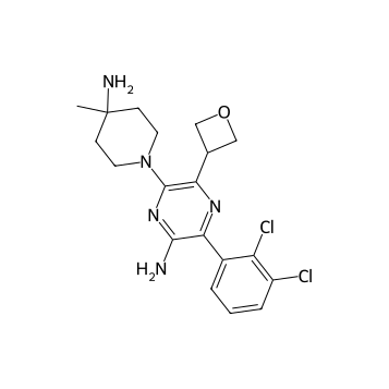 CC1(N)CCN(c2nc(N)c(-c3cccc(Cl)c3Cl)nc2C2COC2)CC1